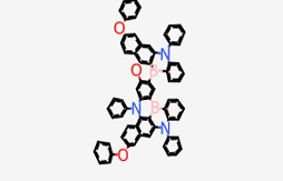 c1ccc(Oc2ccc3c4c5c(cc3c2)N(c2ccccc2)c2ccccc2B5c2cc3c(cc2O4)N(c2ccccc2)c2c4c(cc5cc(Oc6ccccc6)ccc25)N(c2ccccc2)c2ccccc2B34)cc1